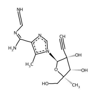 C#C[C@]1(O)[C@H](n2cnc(/C(N)=N\C=N)c2C)O[C@](C)(CO)[C@H]1O